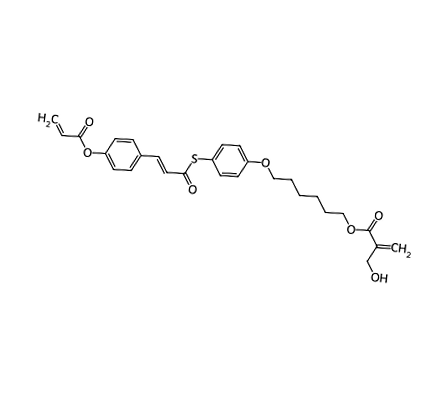 C=CC(=O)Oc1ccc(/C=C/C(=O)Sc2ccc(OCCCCCCOC(=O)C(=C)CO)cc2)cc1